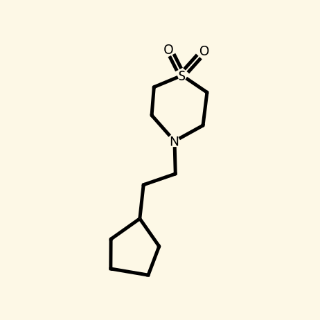 O=S1(=O)CCN(CCC2CCCC2)CC1